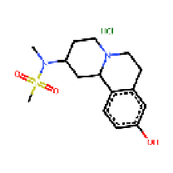 CN(C1CCN2CCc3cc(O)ccc3C2C1)S(C)(=O)=O.Cl